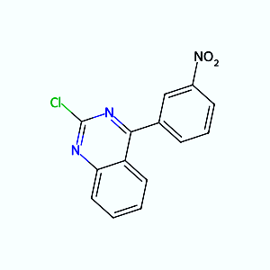 O=[N+]([O-])c1cccc(-c2nc(Cl)nc3ccccc23)c1